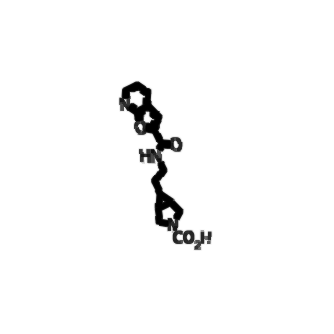 O=C(NCCC1C2CN(C(=O)O)CC12)c1cc2cccnc2o1